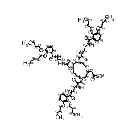 CCCCOc1cccc(C(=O)NCCNC(=O)CN2CCN(CC(=O)O)CCN(CC(=O)NCCNC(=O)c3cccc(OCCCC)c3OCCCC)CCN(CC(=O)NCCNC(=O)c3cccc(OCCCC)c3OCCCC)CC2)c1OCCCC